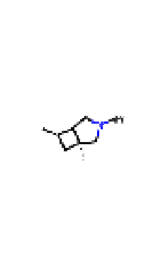 CC(C)N1CC2[C@H](C)C[C@]2(C)C1